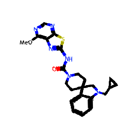 COc1ncnc2sc(NC(=O)N3CCC4(CC3)CN(CC3CC3)c3ccccc34)nc12